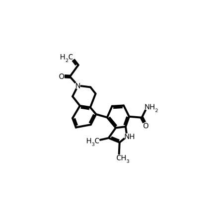 C=CC(=O)N1CCc2c(cccc2-c2ccc(C(N)=O)c3[nH]c(C)c(C)c23)C1